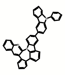 c1ccc(-n2c3ccccc3c3cc(-c4ccc5c(c4)c4cccc6c4n5-c4nc5ccccc5cc4-c4ccccc4-6)ccc32)cc1